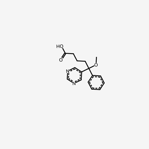 COC(CCCC(=O)O)(c1ccccc1)c1cncnc1